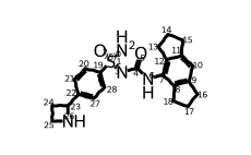 N[S@](=O)(=NC(=O)Nc1c2c(cc3c1CCC3)CCC2)c1ccc(C2CCN2)cc1